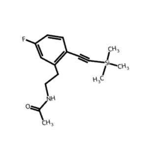 CC(=O)NCCc1cc(F)ccc1C#C[Si](C)(C)C